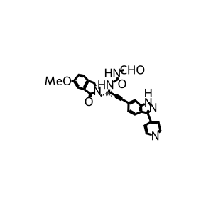 COc1ccc2c(c1)C(=O)N(C[C@@H](C#Cc1ccc3c(-c4ccncc4)n[nH]c3c1)NC(=O)NC=O)C2